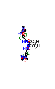 O=C(O)CN(CCN(CC(=O)O)CC(=O)NCCCCc1cc(Cl)c(CNC2(C(=O)N3CCN(C4CC4)c4ccccc43)CC2)cc1Cl)CC(=O)NCCCCc1cc(Cl)c(CNC2(C(=O)N3CCN(C4CC4)c4ccccc43)CC2)cc1Cl